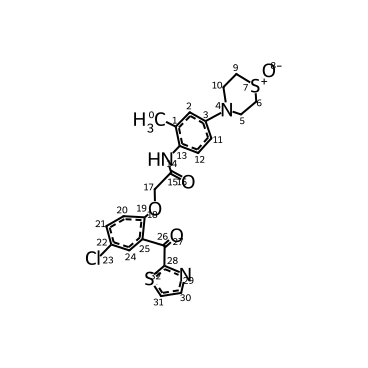 Cc1cc(N2CC[S+]([O-])CC2)ccc1NC(=O)COc1ccc(Cl)cc1C(=O)c1nccs1